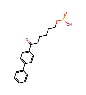 O=C(CCCCCO[PH](=O)O)c1ccc(-c2ccccc2)cc1